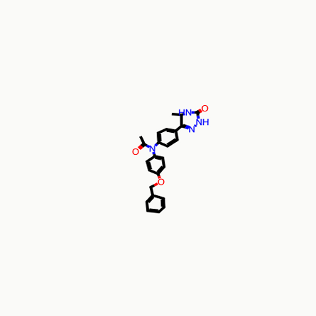 CC(=O)N(c1ccc(OCc2ccccc2)cc1)c1ccc(C2=NNC(=O)NC2C)cc1